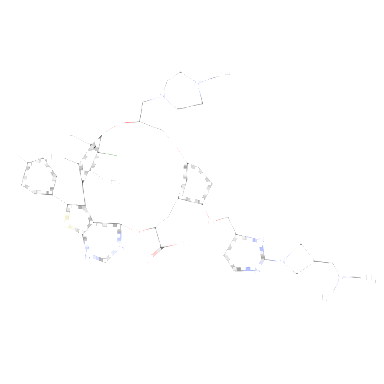 Cc1c(Cl)c2c(Cl)c(C)c1-c1c(-c3ccc(F)cc3)sc3ncnc(c13)OC(C(=O)O)Cc1cc(ccc1OCc1ccnc(N3CC(CN(C)C)C3)n1)OCC(CN1CCN(C)CC1)O2